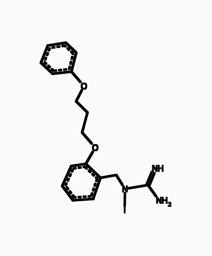 N=C(N)N(I)Cc1ccccc1OCCCOc1ccccc1